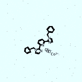 [Cl-].[Cl-].[Cl-].[Co+3].c1ccc(Cn2ccnc2-c2cccc(-c3nccn3Cc3ccccc3)n2)cc1